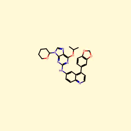 CC(C)Oc1nc(Nc2ccc3nccc(-c4ccc5c(c4)OCO5)c3c2)nc2c1ncn2C1CCCCO1